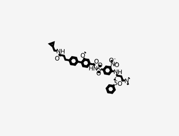 COc1cc(C(=O)NS(=O)(=O)c2ccc(N[C@@H](CSc3ccccc3)CC(=O)N(C)C)c([N+](=O)[O-])c2)ccc1-c1ccc(CCC(=O)NCC2CC2)cc1